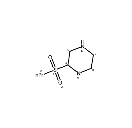 CCCS(=O)(=O)C1CNCC[N]1